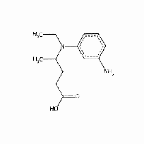 CCN(c1cccc(N)c1)C(C)CCC(=O)O